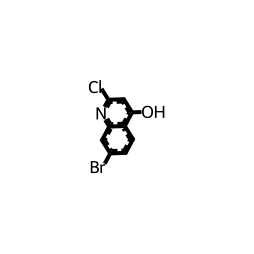 Oc1cc(Cl)nc2cc(Br)ccc12